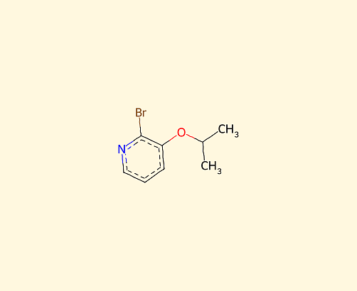 CC(C)Oc1cccnc1Br